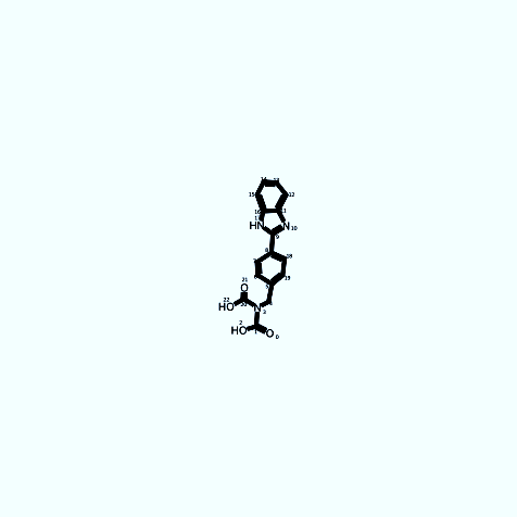 O=C(O)N(Cc1ccc(-c2nc3ccccc3[nH]2)cc1)C(=O)O